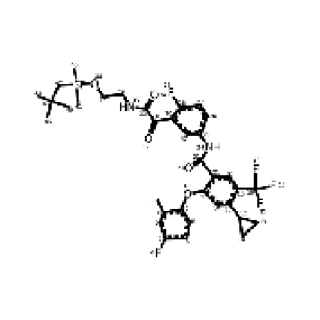 Cc1cc(F)ccc1Oc1cc(C2CC2)c(C(F)(F)F)cc1C(=O)Nc1ccc(F)c(C(=O)C(=O)NCCO[Si](C)(C)CC(C)(C)C)c1